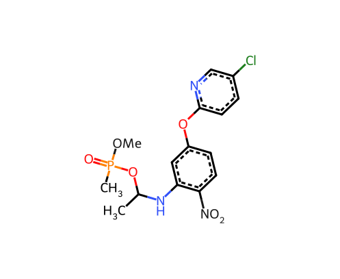 COP(C)(=O)OC(C)Nc1cc(Oc2ccc(Cl)cn2)ccc1[N+](=O)[O-]